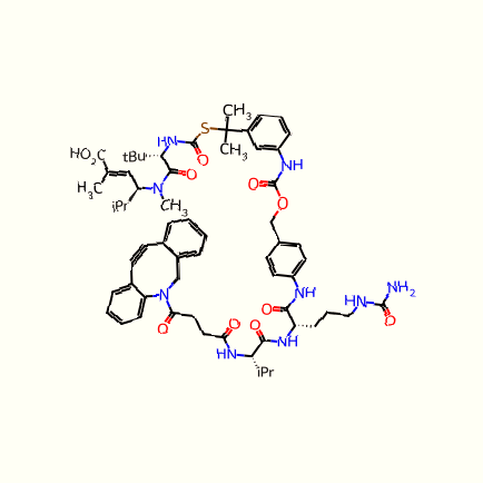 C/C(=C\[C@H](C(C)C)N(C)C(=O)[C@@H](NC(=O)SC(C)(C)c1cccc(NC(=O)OCc2ccc(NC(=O)[C@H](CCCNC(N)=O)NC(=O)[C@@H](NC(=O)CCC(=O)N3Cc4ccccc4C#Cc4ccccc43)C(C)C)cc2)c1)C(C)(C)C)C(=O)O